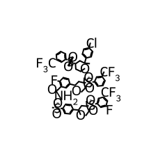 CC1(S(=O)(=O)c2cc(F)cc(C(F)(F)F)c2)CCOC(c2ccc(S(C)(=O)=O)cc2)C1.CC1(S(=O)(=O)c2cccc(C(F)(F)F)c2)CCOC(c2ccc(F)c(C(N)=O)c2)C1.CC1(c2ccc(Cl)cc2)CC(S(=O)(=O)c2cccc(C(F)(F)F)c2)CCO1